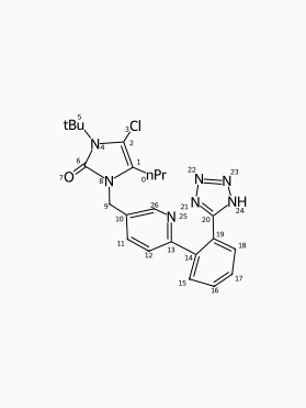 CCCc1c(Cl)n(C(C)(C)C)c(=O)n1Cc1ccc(-c2ccccc2-c2nnn[nH]2)nc1